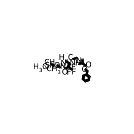 C[C@@H](CN1CC(C(=O)OCc2ccccc2)C1)Nc1cnn(COCC[Si](C)(C)C)c(=O)c1C(F)(F)F